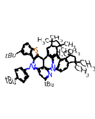 CC(C)(C)c1ccc(N2c3cc(C(C)(C)C)nc4c3C(c3sc5ccc(C(C)(C)C)cc5c32)c2cc3c(c5c6c7c(ccc6n-4c25)C(C)(C)CC7(C)C)C(C)(C)CC3(C)C)cc1